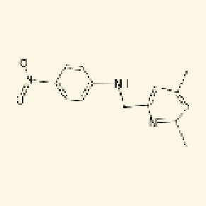 Cc1cc(C)nc(CNc2ccc([N+](=O)[O-])cc2)c1